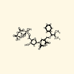 CC(C)C(OCc1cn([C@H]2C[C@H](O)[C@@H](COP(=O)(O)OP(=O)(O)OP(=O)(O)O)O2)c(=O)[nH]c1=O)c1ccccc1